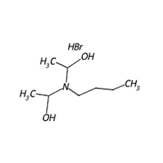 Br.CCCCN(C(C)O)C(C)O